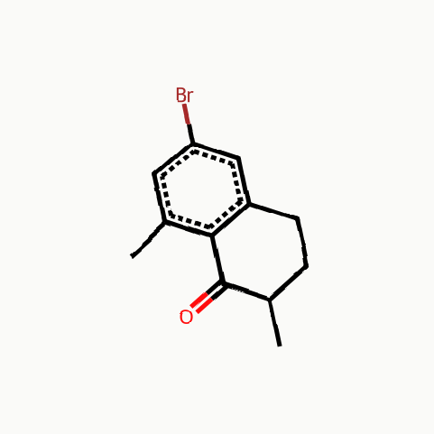 Cc1cc(Br)cc2c1C(=O)C(C)CC2